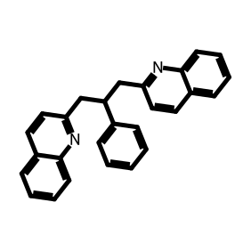 c1ccc(C(Cc2ccc3ccccc3n2)Cc2ccc3ccccc3n2)cc1